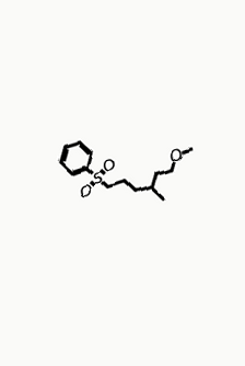 COCCC(C)CCCS(=O)(=O)c1ccccc1